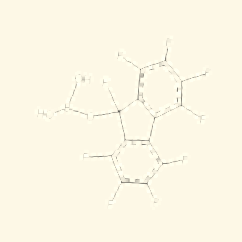 OB(O)OC1(F)c2c(F)c(F)c(F)c(F)c2-c2c(F)c(F)c(F)c(F)c21